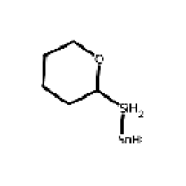 [SnH][SiH2]C1CCCCO1